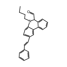 CCCCN1c2ccc(C=Cc3ccccc3)cc2-c2ccccc2C1C=O